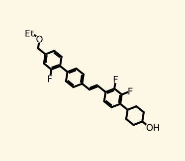 CCOCc1ccc(-c2ccc(/C=C/c3ccc(C4CCC(O)CC4)c(F)c3F)cc2)c(F)c1